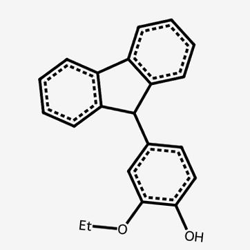 CCOc1cc(C2c3ccccc3-c3ccccc32)ccc1O